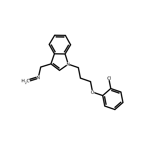 C=NCc1cn(CCCOc2ccccc2Cl)c2ccccc12